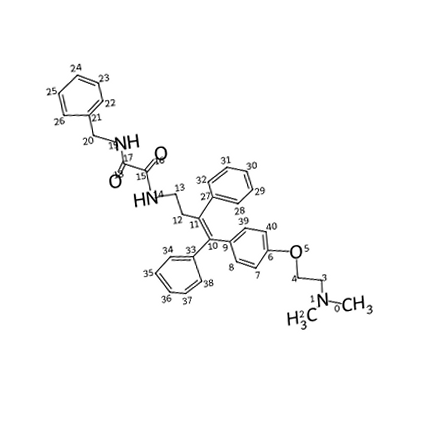 CN(C)CCOc1ccc(/C(=C(/CCNC(=O)C(=O)NCc2ccccc2)c2ccccc2)c2ccccc2)cc1